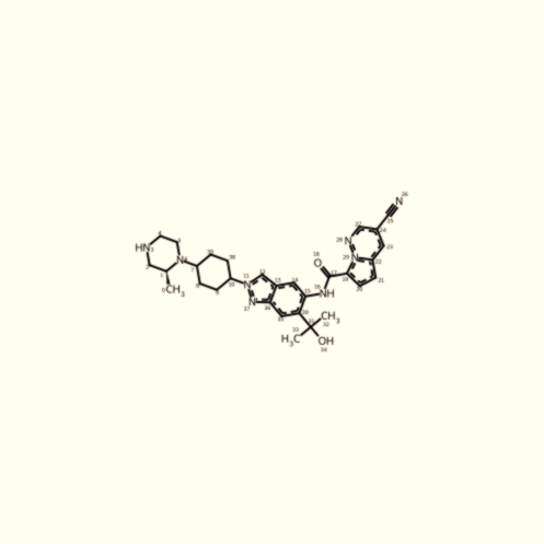 C[C@H]1CNCCN1C1CCC(n2cc3cc(NC(=O)c4ccc5cc(C#N)cnn45)c(C(C)(C)O)cc3n2)CC1